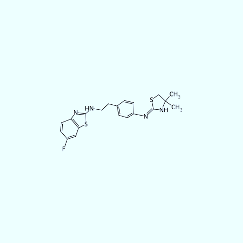 CC1(C)CS/C(=N\c2ccc(CCNc3nc4ccc(F)cc4s3)cc2)N1